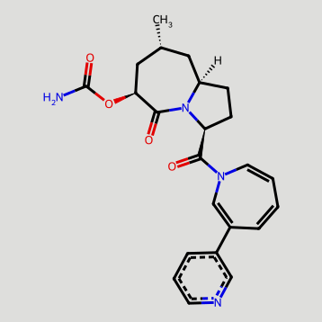 C[C@@H]1C[C@H]2CC[C@@H](C(=O)N3C=CC=CC(c4cccnc4)=C3)N2C(=O)[C@@H](OC(N)=O)C1